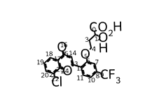 O=C(O)C(O)CCOc1cc(C(F)(F)F)ccc1-c1cc(=O)c2cccc(Cl)c2o1